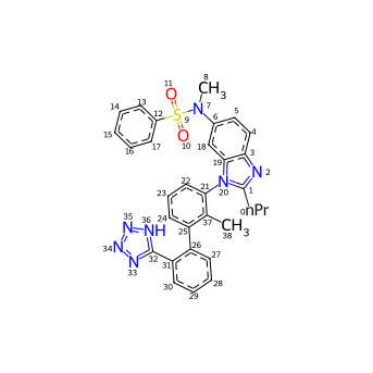 CCCc1nc2ccc(N(C)S(=O)(=O)c3ccccc3)cc2n1-c1cccc(-c2ccccc2-c2nnn[nH]2)c1C